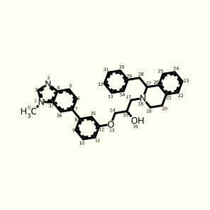 Cn1cnc2ccc(-c3cccc(OCC(O)CN4CCc5ccccc5C4Cc4ccccc4)c3)cc21